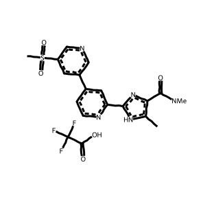 CNC(=O)c1nc(-c2cc(-c3cncc(S(C)(=O)=O)c3)ccn2)[nH]c1C.O=C(O)C(F)(F)F